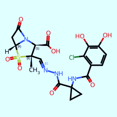 C[C@]1(/C=N/NC(=O)C2(NC(=O)c3ccc(O)c(O)c3Cl)CC2)[C@H](C(=O)O)N2C(=O)C[C@H]2S1(=O)=O